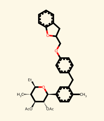 CC[C@H]1O[C@@H](c2ccc(C)c(Cc3ccc(OCC4Cc5ccccc5O4)cc3)c2)[C@H](OC(C)=O)[C@@H](OC(C)=O)[C@@H]1C